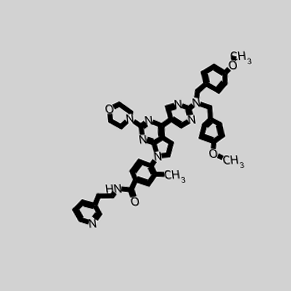 COc1ccc(CN(Cc2ccc(OC)cc2)c2ncc(-c3nc(N4CCOCC4)nc4c3CCN4c3ccc(C(=O)NCCc4cccnc4)cc3C)cn2)cc1